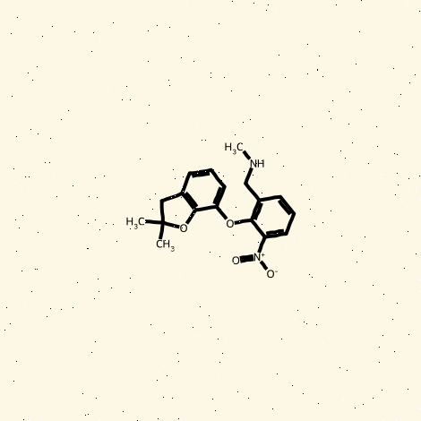 CNCc1cccc([N+](=O)[O-])c1Oc1cccc2c1OC(C)(C)C2